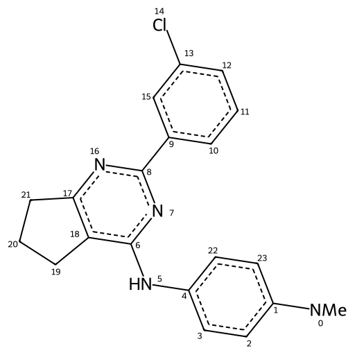 CNc1ccc(Nc2nc(-c3cccc(Cl)c3)nc3c2CCC3)cc1